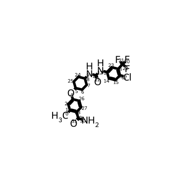 Cc1cc(OC2CCC(NC(=O)Nc3ccc(Cl)c(C(F)(F)F)c3)CC2)ccc1C(N)=O